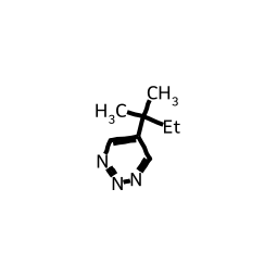 CCC(C)(C)c1cnnnc1